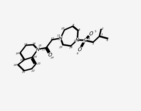 CC(C)CS(=O)(=O)N1CCCN(CC(=O)N2CCCC3CCCC=C32)CC1